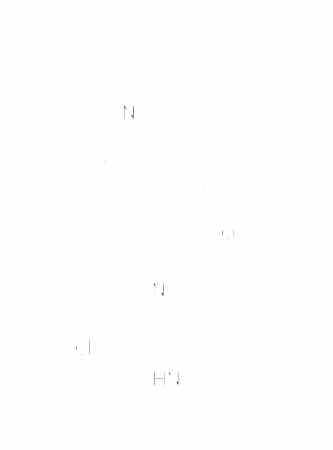 CN1CCC(OC2=NC(Cl)NC=C2)CC1